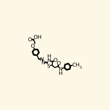 Cc1ccc(NC(=O)CC2S/C(=N/N=C/c3ccc(OCC(=O)O)cc3)NC2=O)cc1